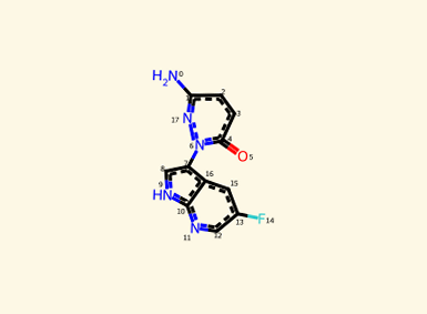 Nc1ccc(=O)n(-c2c[nH]c3ncc(F)cc23)n1